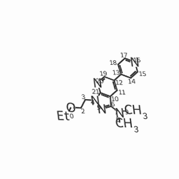 CCOCCn1nc(N(C)C)c2cc(-c3ccncc3)cnc21